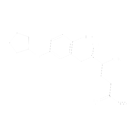 C=C(CCC(C=O)N(C)Cc1cc(OC2CCCC2)ccc1C=O)NC